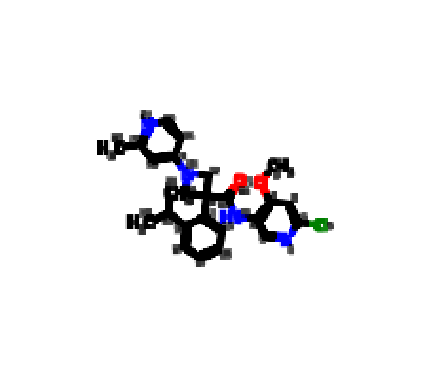 COc1cc(Cl)ncc1NC(=O)C1(c2ccccc2C(C)C)CN(c2ccnc(C)c2)C1